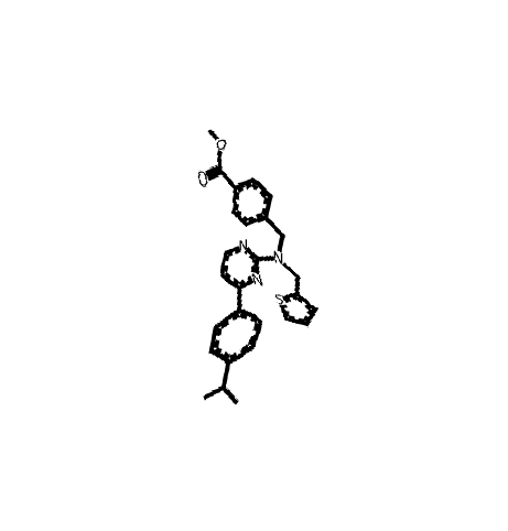 COC(=O)c1ccc(CN(Cc2cccs2)c2nccc(-c3ccc(C(C)C)cc3)n2)cc1